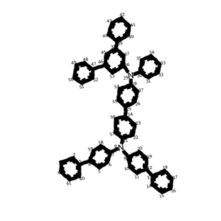 c1ccc(-c2ccc(N(c3ccc(-c4ccccc4)cc3)c3ccc(-c4ccc(N(c5ccccc5)c5cc(-c6ccccc6)cc(-c6ccccc6)c5)cc4)cc3)cc2)cc1